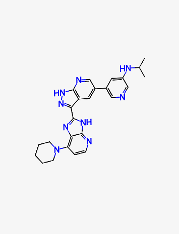 CC(C)Nc1cncc(-c2cnc3[nH]nc(-c4nc5c(N6CCCCC6)ccnc5[nH]4)c3c2)c1